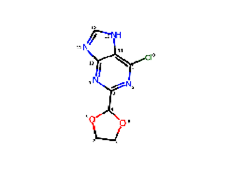 Clc1nc(C2OCCO2)nc2nc[nH]c12